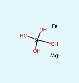 O[Si](O)(O)O.[Fe].[Mg]